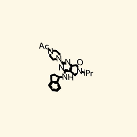 CC(=O)N1CCN(c2nc(NC3CCc4ccccc43)c3c(n2)C(=O)N(C(C)C)C3)CC1